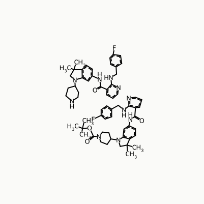 CC(C)(C)OC(=O)N1CCC(N2CC(C)(C)c3ccc(NC(=O)c4cccnc4NCc4ccc(F)cc4)cc32)CC1.CC1(C)CN(C2CCNCC2)c2cc(NC(=O)c3cccnc3NCc3ccc(F)cc3)ccc21